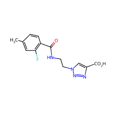 Cc1ccc(C(=O)NCCn2cc(C(=O)O)nn2)c(F)c1